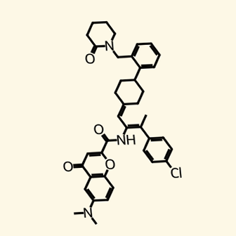 C/C(=C(\C=C1CCC(c2ccccc2CN2CCCCC2=O)CC1)NC(=O)c1cc(=O)c2cc(N(C)C)ccc2o1)c1ccc(Cl)cc1